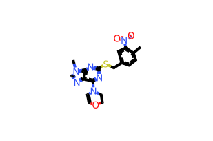 Cc1ccc(CSc2nc(N3C=COCC3)c3ncn(C)c3n2)cc1[N+](=O)[O-]